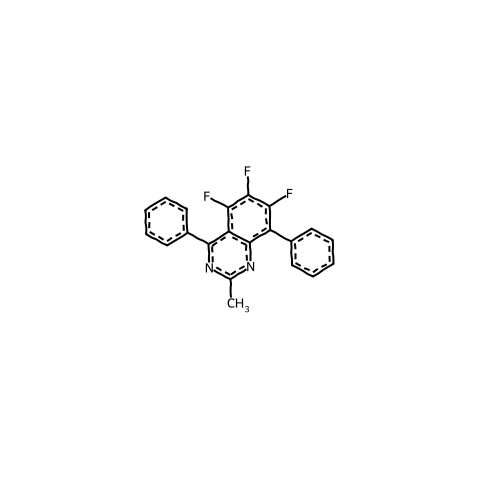 Cc1nc(-c2ccccc2)c2c(F)c(F)c(F)c(-c3ccccc3)c2n1